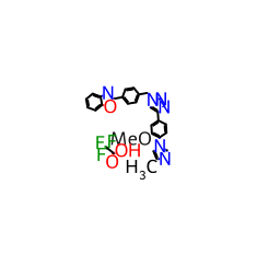 COc1cc(-c2cn(Cc3ccc(-c4nc5ccccc5o4)cc3)nn2)ccc1-n1cnc(C)c1.O=C(O)C(F)(F)F